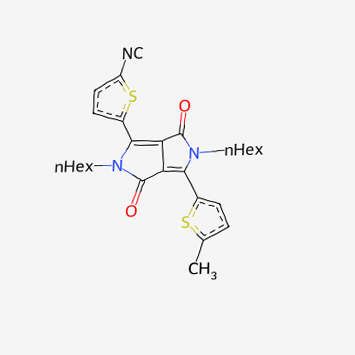 [C-]#[N+]c1ccc(C2=C3C(=O)N(CCCCCC)C(c4ccc(C)s4)=C3C(=O)N2CCCCCC)s1